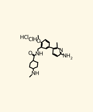 CNC1CCC(C(=O)NCc2cc(-c3ccc(N)nc3C)ccc2OC)CC1.Cl.Cl